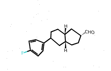 O=C[C@@H]1CC[C@@H]2CC(c3ccc(F)cc3)CC[C@@H]2C1